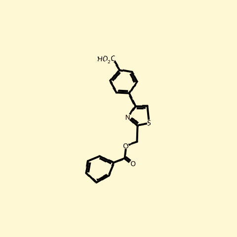 O=C(O)c1ccc(-c2csc(COC(=O)c3ccccc3)n2)cc1